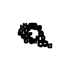 COC1CN(C(=O)[C@H]2/C(F)=C/C[C@H](C)[C@@H](C)S(=O)(=O)NC(=O)c3ccc4c(c3)N(C[C@@H]3CCCN32)C[C@@]2(CCCc3cc(Cl)ccc32)CO4)C1